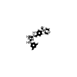 Cc1cc(C)cc(Nc2n[nH]c(NCc3ccc([S+]([O-])N4CCOCC4)cc3)n2)c1